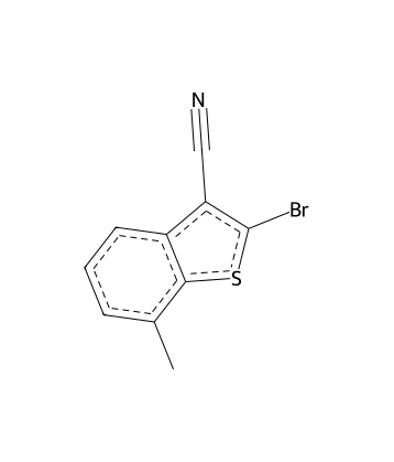 Cc1cccc2c(C#N)c(Br)sc12